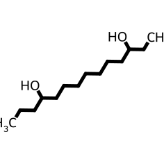 CCCC(O)CCCCCCCC(O)CC